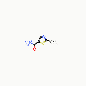 Cc1ncc(C(N)=O)s1